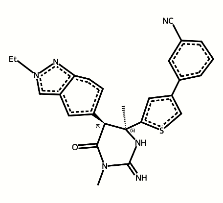 CCn1cc2cc([C@@H]3C(=O)N(C)C(=N)N[C@]3(C)c3cc(-c4cccc(C#N)c4)cs3)ccc2n1